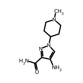 CN1CCC(n2cc(N)c(C(N)=O)n2)CC1